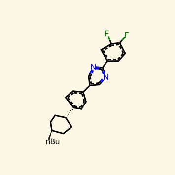 CCCC[C@H]1CC[C@H](c2ccc(-c3cnc(-c4ccc(F)c(F)c4)nc3)cc2)CC1